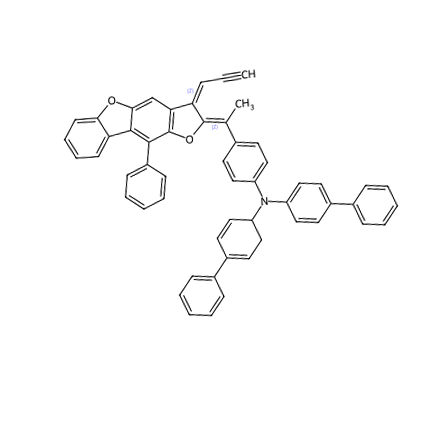 C#C/C=c1\c(=C(/C)c2ccc(N(c3ccc(-c4ccccc4)cc3)C3C=CC(c4ccccc4)=CC3)cc2)oc2c(-c3ccccc3)c3c(cc12)oc1ccccc13